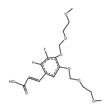 COCCOCOc1cc(/C=C/C(=O)O)c(F)c(F)c1OCOCCOC